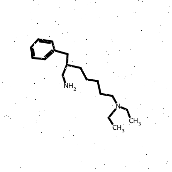 CCN(CC)CCCCCC(CN)Cc1ccccc1